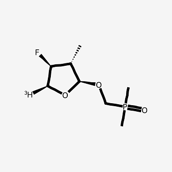 [3H][C@@H]1O[C@H](OCP(C)(C)=O)[C@@H](C)[C@@H]1F